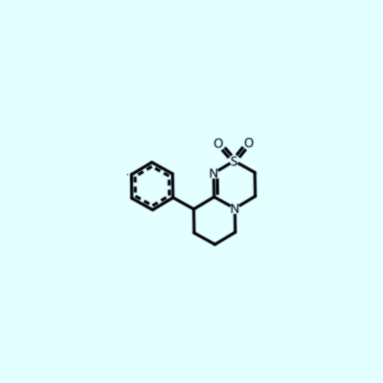 O=S1(=O)CCN2CCCC(c3cc[c]cc3)C2=N1